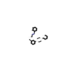 C[C@H](NC(=O)/C=C/c1cccc(F)c1F)c1cccc(N2CCN(c3ccccn3)CC2)c1